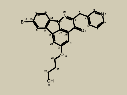 O=c1c(Cc2cccnc2)nn2c3ccc(Br)cc3c3cc(OCCCO)cc1c32